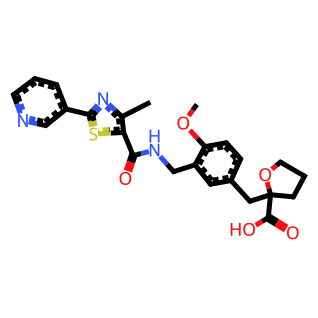 COc1ccc(CC2(C(=O)O)CCCO2)cc1CNC(=O)c1sc(-c2cccnc2)nc1C